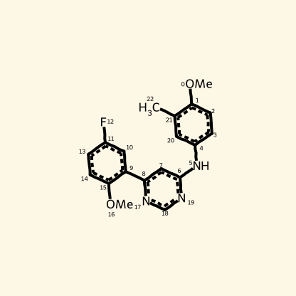 COc1ccc(Nc2cc(-c3cc(F)ccc3OC)ncn2)cc1C